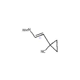 CN/C=C/C1(C#N)CC1